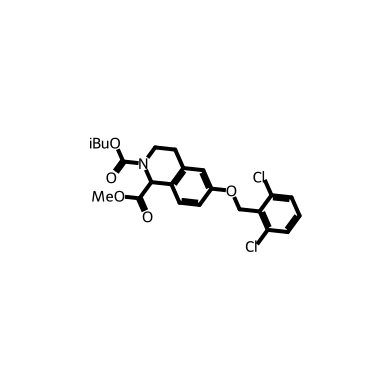 COC(=O)C1c2ccc(OCc3c(Cl)cccc3Cl)cc2CCN1C(=O)OCC(C)C